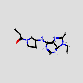 CCC(=O)N1CCC(Nc2ncnc3c2nc(C)n3CC)C1